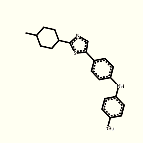 CC1CCC(c2ncc(-c3ccc(Nc4ccc(C(C)(C)C)cc4)cc3)s2)CC1